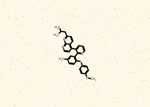 COc1ccc(Sc2ccc(C)cc2-c2ncccc2-c2ccnc3nc(CC(C)C)ccc23)cc1